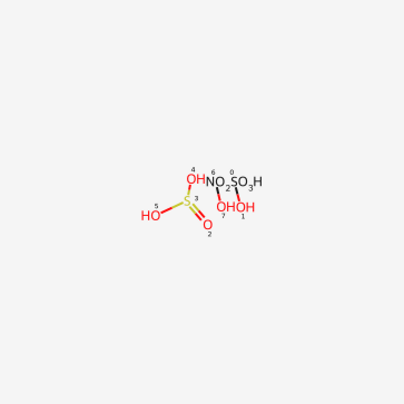 O=S(=O)(O)O.O=S(O)O.O=[N+]([O-])O